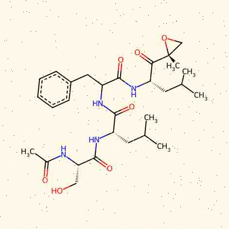 CC(=O)N[C@@H](CO)C(=O)N[C@@H](CC(C)C)C(=O)NC(Cc1ccccc1)C(=O)N[C@@H](CC(C)C)C(=O)[C@@]1(C)CO1